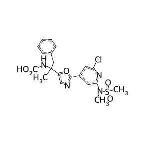 CN(c1cc(-c2ncc(C(C)(Cc3ccccc3)NC(=O)O)o2)cc(Cl)n1)S(C)(=O)=O